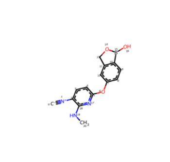 [C-]#[N+]c1ccc(Oc2ccc3c(c2)COB3O)nc1NC